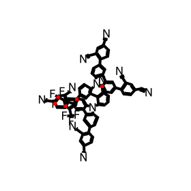 N#Cc1ccc(-c2ccc3c(c2)c2cc(-c4ccc(C#N)cc4C#N)ccc2n3-c2ccc(-c3cc(C(F)(F)F)cc(C(F)(F)F)c3)cc2-c2c(C#N)cccc2-n2c3ccc(-c4ccc(C#N)cc4C#N)cc3c3cc(-c4ccc(C#N)cc4C#N)ccc32)c(C#N)c1